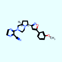 COc1cccc(-c2cc([C@@H]3CC[C@@H]4CN(c5nccnc5C#N)CCN43)no2)c1